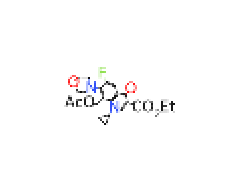 CCOC(=O)c1cn(C2CC2)c2c(COC(C)=O)c(N3CCOCC3)c(F)cc2c1=O